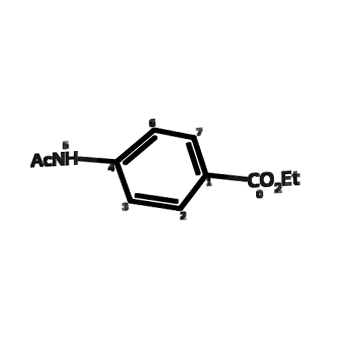 CCOC(=O)c1ccc(NC(C)=O)cc1